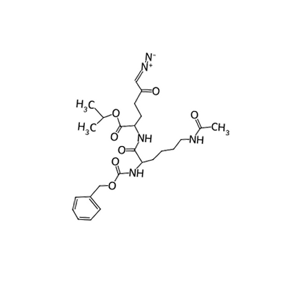 CC(=O)NCCCCC(NC(=O)OCc1ccccc1)C(=O)NC(CCC(=O)C=[N+]=[N-])C(=O)OC(C)C